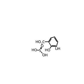 O=C(O)c1ccccc1O.O=S(O)O.[LiH]